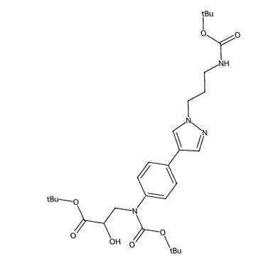 CC(C)(C)OC(=O)NCCCn1cc(-c2ccc(N(CC(O)C(=O)OC(C)(C)C)C(=O)OC(C)(C)C)cc2)cn1